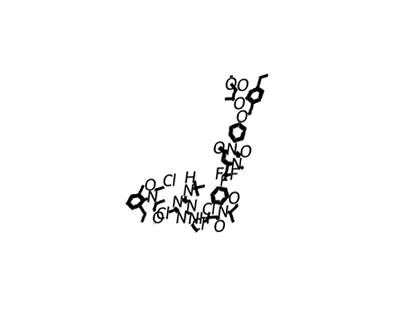 CC1COc2ccccc2N1C(=O)C(Cl)Cl.CCNc1nc(Cl)nc(NC(C)(C)C)n1.CCc1ccc(COc2ccc(-n3c(=O)cc(C(F)(F)F)n(C)c3=O)cc2)c(OC(C)C(=O)OC)c1.CCc1cccc(C)c1N(C(=O)CCl)C(C)COC